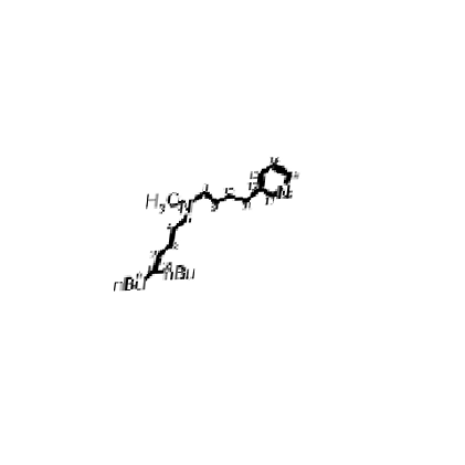 CCCCC(=CCCCN(C)CCCCc1cccnc1)CCCC